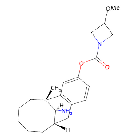 COC1CN(C(=O)Oc2ccc3c(c2)[C@@]2(C)CCCCC[C@@H](C3)[C@@H]2N)C1